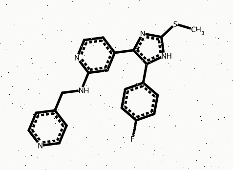 CSc1nc(-c2ccnc(NCc3ccncc3)c2)c(-c2ccc(F)cc2)[nH]1